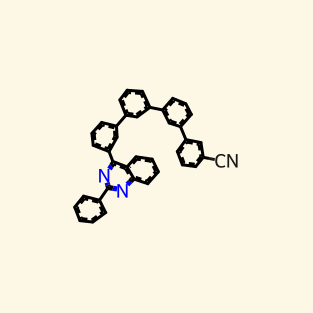 N#Cc1cccc(-c2cccc(-c3cccc(-c4cccc(-c5nc(-c6ccccc6)nc6ccccc56)c4)c3)c2)c1